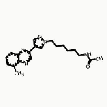 Cc1cccc2nc(-c3cnn(CCCCCCNC(=O)O)c3)cnc12